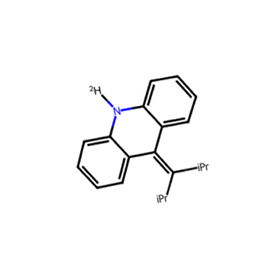 [2H]N1c2ccccc2C(=C(C(C)C)C(C)C)c2ccccc21